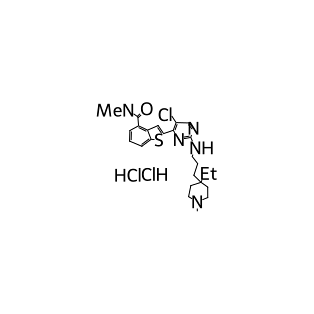 CCC1(CCCNc2ncc(Cl)c(-c3cc4c(C(=O)NC)cccc4s3)n2)CCN(C)CC1.Cl.Cl